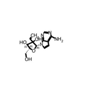 C=CC1(O)[C@@H](O)[C@@H](CO)O[C@H]1n1ccc2c(N)ncnc21